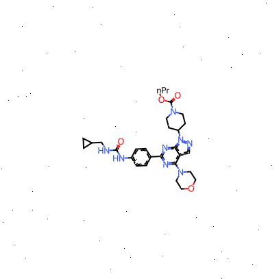 CCCOC(=O)N1CCC(n2ncc3c(N4CCOCC4)nc(-c4ccc(NC(=O)NCC5CC5)cc4)nc32)CC1